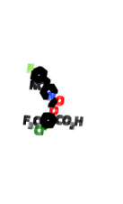 N#CC1(Cc2ccc(F)cc2)CCN(C(=O)COc2cc(C(F)(F)F)c(Cl)cc2C(=O)O)CC1